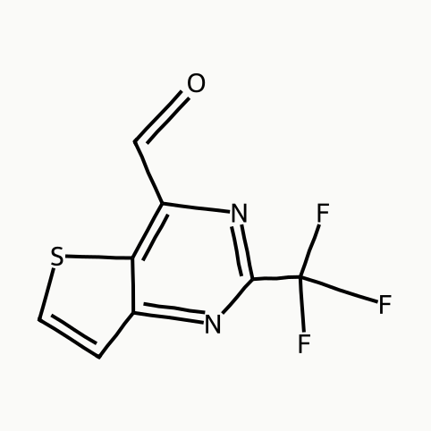 O=Cc1nc(C(F)(F)F)nc2ccsc12